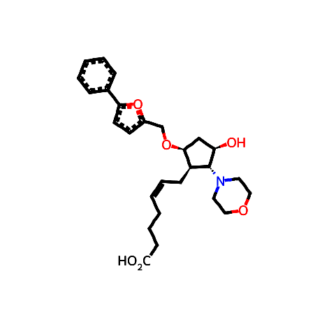 O=C(O)CCC/C=C\C[C@@H]1[C@@H](N2CCOCC2)[C@H](O)C[C@@H]1OCc1ccc(-c2ccccc2)o1